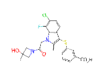 Cc1c(Sc2cccc(C(=O)O)c2)c2ccc(Cl)c(F)c2n1CC(=O)N1CC(C)(O)C1